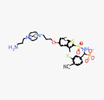 Cc1c(S(=O)(=O)NC(c2ccc(C#N)c(F)c2)P(=O)([O-])[O-])sc2ccc(OCCC[N+]34CC[N+](CCCN)(CC3)CC4)cc12